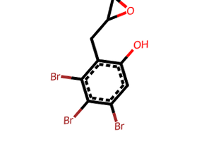 Oc1cc(Br)c(Br)c(Br)c1CC1CO1